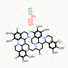 CCC(CCC(CC)CC(C1NCCc2c1cc(OC)c(OC)c2Cl)C1NCCc2c1cc(OC)c(OC)c2Cl)CC(C1NCCc2c1cc(OC)c(OC)c2Cl)C1NCCc2c1cc(OC)c(OC)c2Cl.Cl.Cl.Cl.Cl.O.O.O.O